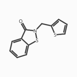 O=c1c2ccccc2sn1Cc1cccs1